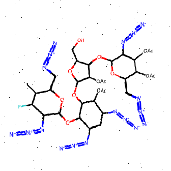 CC(=O)OC1C(N=[N+]=[N-])CC(N=[N+]=[N-])C(OC2OC(CN=[N+]=[N-])C(C)C(F)C2N=[N+]=[N-])C1OC1OC(CO)C(OC2OC(CN=[N+]=[N-])C(OC(C)=O)C(OC(C)=O)C2N=[N+]=[N-])C1OC(C)=O